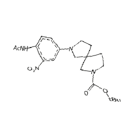 CC(=O)Nc1ccc(N2CCC3(CCN(C(=O)OC(C)(C)C)C3)C2)cc1[N+](=O)[O-]